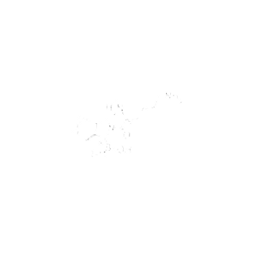 NCCCC[C@H](N)C(=O)N1Cc2ccccc2[C@H]1B(O)O